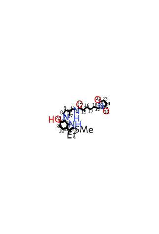 CCc1c(SC)[nH]c2c(N3CCC(CNC(=O)CCCCCN4C(=O)C=CC4=O)C3)c(O)ccc12